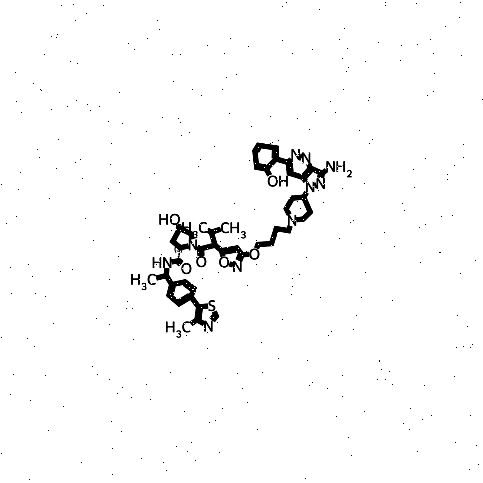 Cc1ncsc1-c1ccc(C(C)NC(=O)[C@@H]2C[C@@H](O)CN2C(=O)C(c2cc(OCCCCN3CCC(n4nc(N)c5nnc(-c6ccccc6O)cc54)CC3)no2)C(C)C)cc1